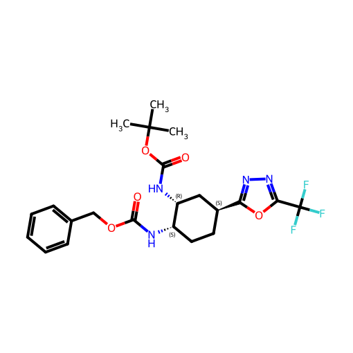 CC(C)(C)OC(=O)N[C@@H]1C[C@@H](c2nnc(C(F)(F)F)o2)CC[C@@H]1NC(=O)OCc1ccccc1